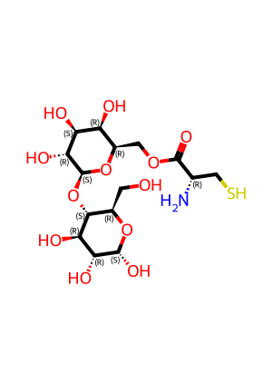 N[C@@H](CS)C(=O)OC[C@H]1O[C@@H](O[C@H]2[C@H](O)[C@@H](O)[C@@H](O)O[C@@H]2CO)[C@H](O)[C@@H](O)[C@H]1O